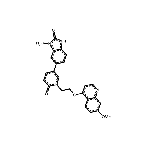 COc1ccc2c(OCCn3cc(-c4ccc5[nH]c(=O)n(C)c5c4)ccc3=O)ccnc2c1